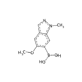 COc1cc2cnn(C)c2cc1B(O)O